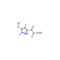 CCOc1c(C)[nH]c(C(=O)C(=O)[C]=O)c1C